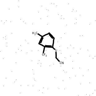 Cc1ccc(SCC#N)c(C(F)(F)F)c1